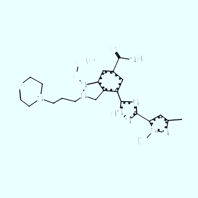 CCn1nc(C)cc1-c1n[nH]c(-c2cc(C(N)=O)cc3c2CN(CCCN2CCOCC2)N3OC=O)n1